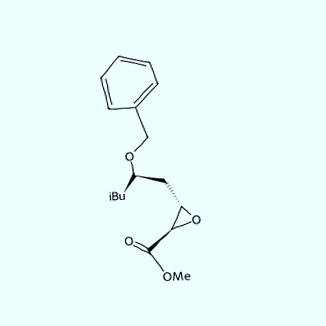 CC[C@H](C)[C@H](C[C@@H]1O[C@H]1C(=O)OC)OCc1ccccc1